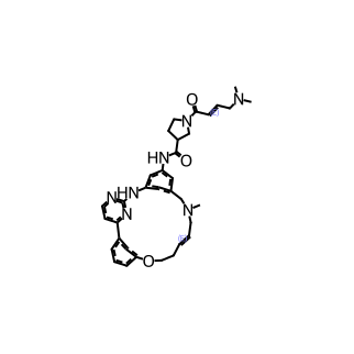 CN(C)C/C=C/C(=O)N1CCC(C(=O)Nc2cc3cc(c2)Nc2nccc(n2)-c2cccc(c2)OCC/C=C/CN(C)C3)C1